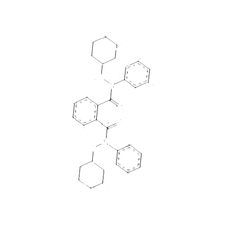 O=C(c1ccccc1C(=O)N(SC1CCCCC1)c1ccccc1)N(SC1CCCCC1)c1ccccc1